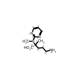 CN(c1ncccn1)[C@@](C)(CCCN)C(=O)O